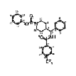 O=C(NC(c1ccccc1)C1CCN(C(=O)Oc2ccccc2)CC1)c1ccc(C(F)(F)F)cc1